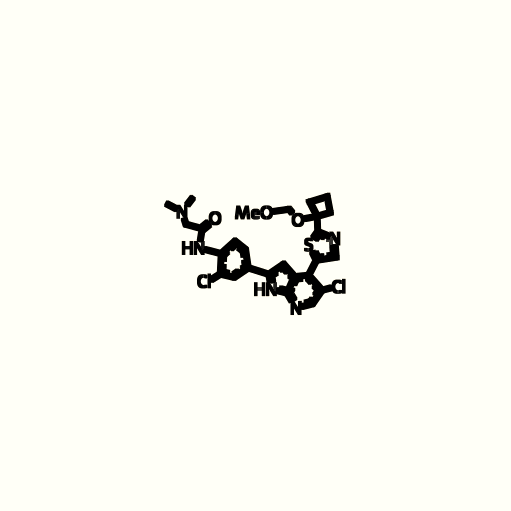 COCOC1(c2ncc(-c3c(Cl)cnc4[nH]c(-c5ccc(NC(=O)CN(C)C)c(Cl)c5)cc34)s2)CCC1